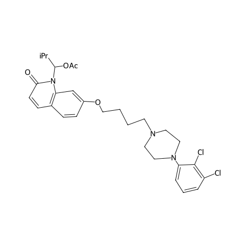 CC(=O)OC(C(C)C)n1c(=O)ccc2ccc(OCCCCN3CCN(c4cccc(Cl)c4Cl)CC3)cc21